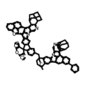 CC12CCC(Cc3ccc4c(c3)-c3cc5c(cc3C43c4ccccc4Oc4ccccc43)c3c4oc6cccc7ccc(c4c76)c4c6c7c(ncc6n5c34)C3CC4CC5CC7CC543)(CC1)c1cc3c(cc12)c1cc2cc(-c4ccccc4)ccc2c2c4c5c(ncc4n3c12)C1CC2CC(C1)CC5C2